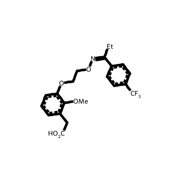 CCC(=NOCCOc1cccc(CC(=O)O)c1OC)c1ccc(C(F)(F)F)cc1